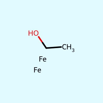 CCO.[Fe].[Fe]